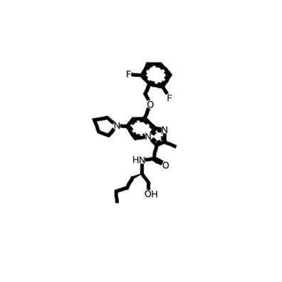 CCCC[C@H](CO)NC(=O)c1c(C)nc2c(OCc3c(F)cccc3F)cc(N3CCCC3)cn12